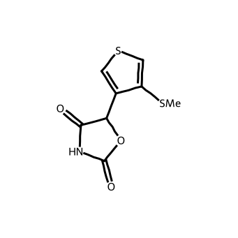 CSc1cscc1C1OC(=O)NC1=O